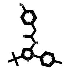 Cc1ccc(-n2nc(C(C)(C)C)cc2NC(=O)Cc2ccc(Br)cc2)cc1